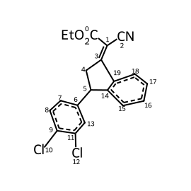 CCOC(=O)C(C#N)=C1CC(c2ccc(Cl)c(Cl)c2)c2ccccc21